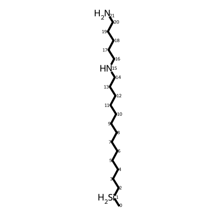 C[SiH2]CCCCCCCCCCCCCNCCCCCN